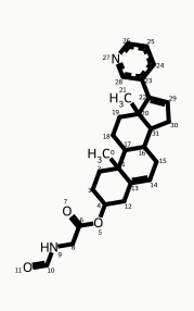 CC12CCC(OC(=O)CNC=O)CC1=CCC1C2CCC2(C)C(c3cccnc3)=CCC12